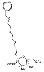 CC(=O)N[C@H]1[C@H](OCCOCCOCCOCc2ccccc2)O[C@H](COC(C)=O)[C@H](OC(C)=O)[C@@H]1OC(C)=O